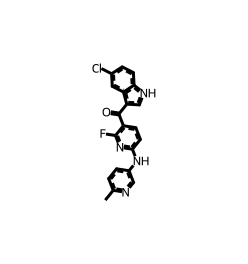 Cc1ccc(Nc2ccc(C(=O)c3c[nH]c4ccc(Cl)cc34)c(F)n2)cn1